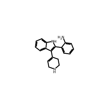 Nc1ccccc1-c1[nH]c2ccccc2c1C1=CCNCC1